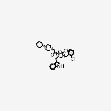 CC(=O)N(Cc1ccccc1Cl)C[C@@H](Cc1c[nH]c2ccccc12)NC(=O)CN1CCN(C2CCCCC2)CC1